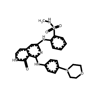 CNS(=O)(=O)c1ccccc1Nc1cc2cc[nH]c(=O)c2c(Nc2ccc(N3CCOCC3)cc2)n1